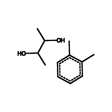 CC(O)C(C)O.Cc1ccccc1C